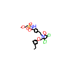 CCc1cccc(OCc2c(Cl)cc(Cl)c(=O)n2CCc2ccc(C(=O)NS(=O)(=O)CCOC)cc2)c1